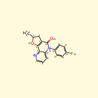 CC1Cc2c(c3ncccc3n(-c3ccc(F)cc3)c2=O)O1